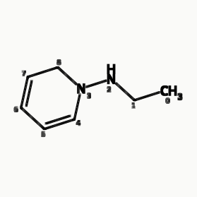 CCNN1C=CC=CC1